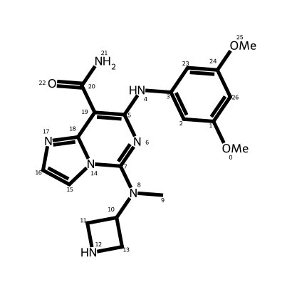 COc1cc(Nc2nc(N(C)C3CNC3)n3ccnc3c2C(N)=O)cc(OC)c1